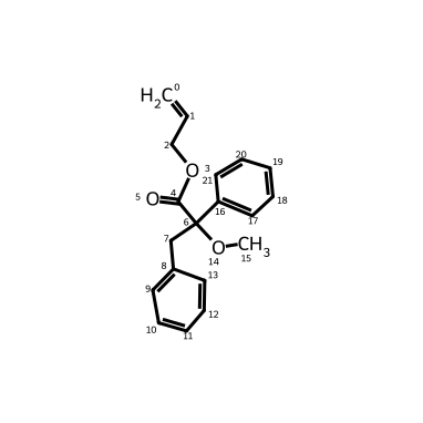 C=CCOC(=O)C(Cc1ccccc1)(OC)c1ccccc1